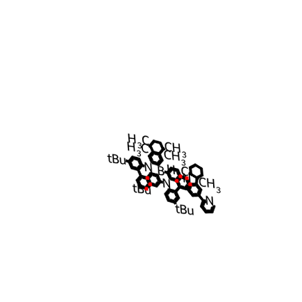 CC(C)(C)c1ccc(N2c3cc(N4c5ccc(-c6ccccn6)cc5C5(C)CCCCC45C)ccc3B3c4cc5c(cc4N(c4ccc(C(C)(C)C)cc4-c4ccccc4)c4cc(C(C)(C)C)cc2c43)C(C)(C)CCC5(C)C)c(-c2ccccc2)c1